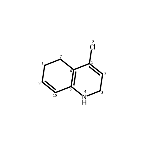 ClC1=CCNC2=C1CCC=C2